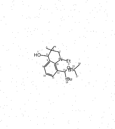 CCN1CC(C)(C)C(O)c2cccc(C(O[SiH](C)C)C(C)(C)C)c21